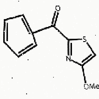 COc1csc(C(=O)c2ccccc2)n1